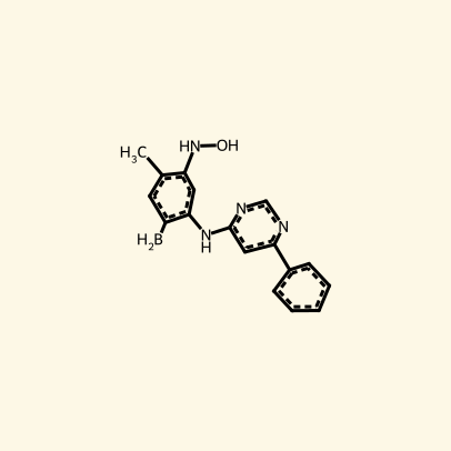 Bc1cc(C)c(NO)cc1Nc1cc(-c2ccccc2)ncn1